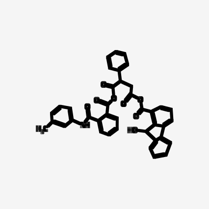 Cc1cccc(NC(=O)c2ccccc2C(=O)OC(=O)C(CC(=O)OC(=O)c2cccc3c2C(O)c2ccccc2-3)c2ccccc2)c1